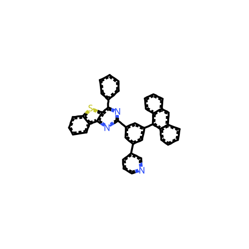 c1ccc(-c2nc(-c3cc(-c4cccnc4)cc(-c4c5ccccc5cc5ccccc45)c3)nc3c2sc2ccccc23)cc1